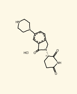 Cl.O=C1CC[C@H](N2Cc3ccc(N4CCNCC4)cc3C2=O)C(=O)N1